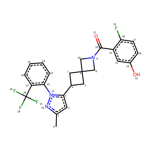 Cc1cc(C2CC3(C2)CN(C(=O)c2cc(O)ccc2F)C3)n(-c2ccccc2C(F)(F)F)n1